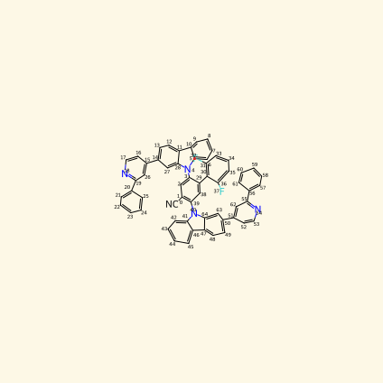 N#Cc1cc(-n2c3ccccc3c3ccc(-c4ccnc(-c5ccccc5)c4)cc32)c(-c2c(F)cccc2F)cc1-n1c2ccccc2c2ccc(-c3ccnc(-c4ccccc4)c3)cc21